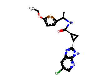 C[C@@H](NC(=O)[C@H]1C[C@@H]1c1nc2cc(Cl)cnc2[nH]1)c1ccc(OCC(F)(F)F)s1